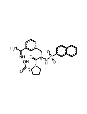 N=C(N)c1cccc(C[C@@H](NS(=O)(=O)c2ccc3ccccc3c2)C(=O)N2CCC[C@@H]2C(=O)O)c1